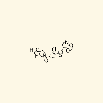 CC1CCN(C(=O)c2ccc(-c3cc(-c4ccnc5c4OCCO5)cs3)c(Cl)c2)CC1F